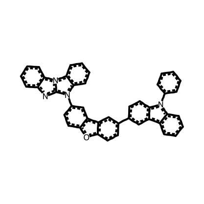 c1ccc(-n2c3ccccc3c3cc(-c4ccc5oc6ccc(-n7c8ccccc8n8c9ccccc9nc78)cc6c5c4)ccc32)cc1